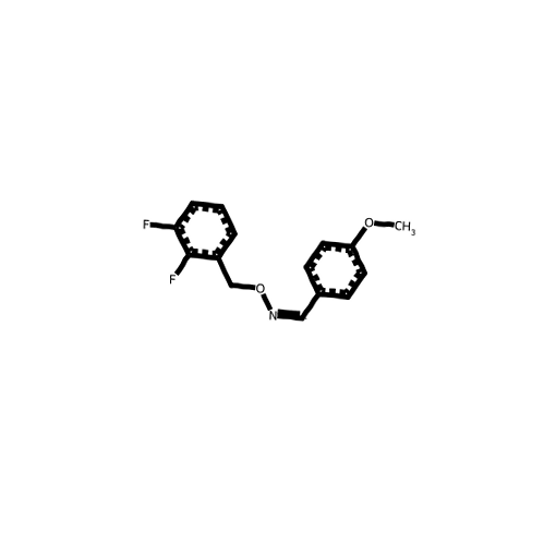 COc1ccc(/[C]=N\OCc2cccc(F)c2F)cc1